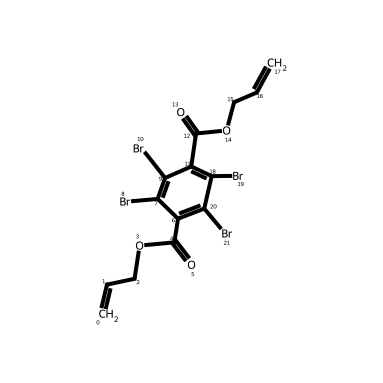 C=CCOC(=O)c1c(Br)c(Br)c(C(=O)OCC=C)c(Br)c1Br